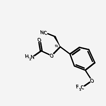 N#CC[C@H](OC(N)=O)c1cccc(OC(F)(F)F)c1